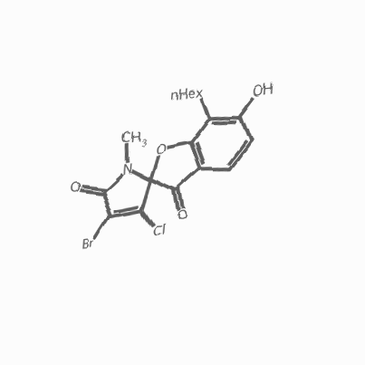 CCCCCCc1c(O)ccc2c1OC1(C2=O)C(Cl)=C(Br)C(=O)N1C